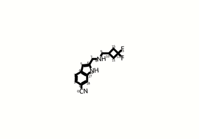 N#Cc1ccc2cc(CNCC3CC(F)(F)C3)[nH]c2c1